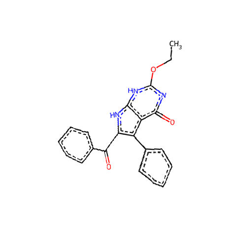 CCOc1nc(=O)c2c(-c3ccccc3)c(C(=O)c3ccccc3)[nH]c2[nH]1